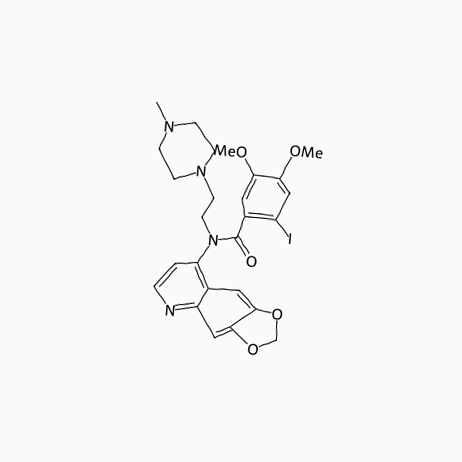 COc1cc(I)c(C(=O)N(CCN2CCN(C)CC2)c2ccnc3cc4c(cc23)OCO4)cc1OC